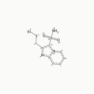 CCSCc1nc2ccccn2c1S(N)(=O)=O